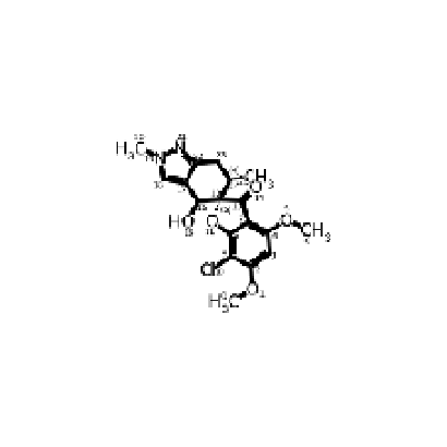 COc1cc(OC)c2c(c1Cl)O[C@]1(C2=O)C(O)c2cn(C)nc2C[C@H]1C